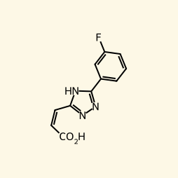 O=C(O)/C=C\c1nnc(-c2cccc(F)c2)[nH]1